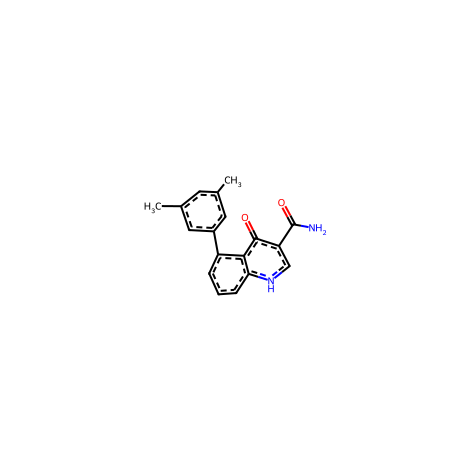 Cc1cc(C)cc(-c2cccc3[nH]cc(C(N)=O)c(=O)c23)c1